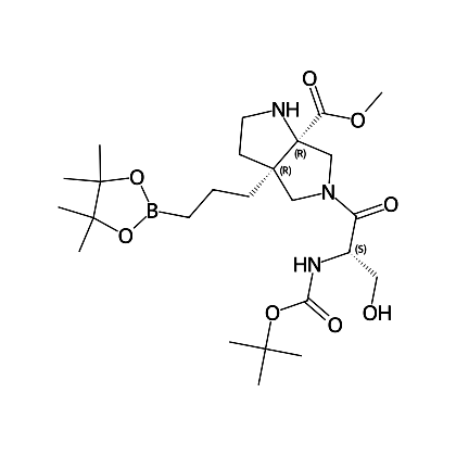 COC(=O)[C@]12CN(C(=O)[C@H](CO)NC(=O)OC(C)(C)C)C[C@@]1(CCCB1OC(C)(C)C(C)(C)O1)CCN2